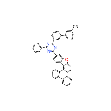 N#Cc1cccc(-c2cccc(-c3nc(-c4ccccc4)nc(-c4ccc5c(c4)oc4cccc(-c6ccccc6-c6ccccc6)c45)n3)c2)c1